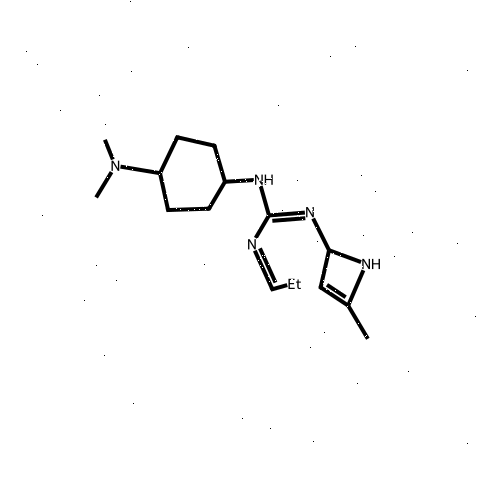 CC/C=N\C(=N/C1C=C(C)N1)NC1CCC(N(C)C)CC1